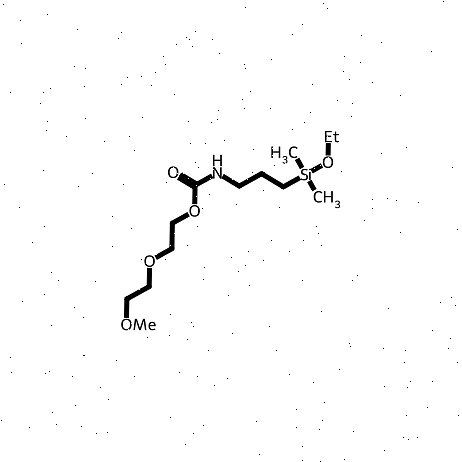 CCO[Si](C)(C)CCCNC(=O)OCCOCCOC